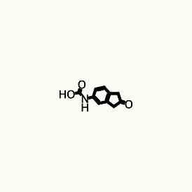 O=C1Cc2ccc(NC(=O)O)cc2C1